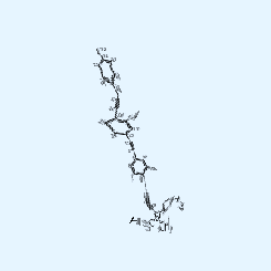 C[Si](C)(C)C#Cc1ccc(C#Cc2ccc(C#Cc3ccc(I)cc3)cc2)cc1